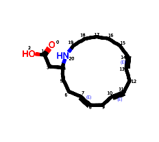 O=C(O)CC1CC/C=C/C/C=C/C/C=C/CCCCCN1